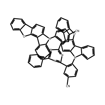 N#Cc1ccc(-n2c3ccccc3c3c4oc5ccccc5c4ccc32)c(-c2nc(-c3ccccc3)nc(-c3cc(C#N)ccc3-n3c4ccccc4c4c5oc6ccccc6c5ccc43)n2)c1